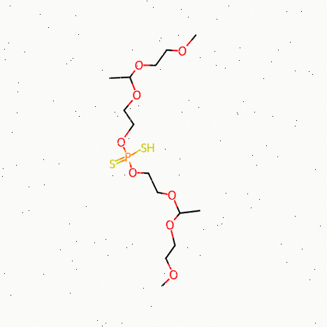 COCCOC(C)OCCOP(=S)(S)OCCOC(C)OCCOC